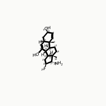 C[C@]12C=C[C@H](O)C[C@H]1C=C(O)[C@@H]1[C@@H]2CC[C@]2(C)[C@H](N)[C@@H](F)C[C@@H]12